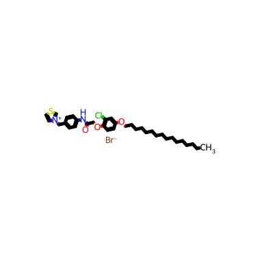 CCCCCCCCCCCCCCCCOc1ccc(OCC(=O)Nc2ccc(C[n+]3ccsc3)cc2)c(Cl)c1.[Br-]